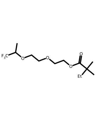 CCC(C)(C)C(=O)OCCOCCOC(C)C(F)(F)F